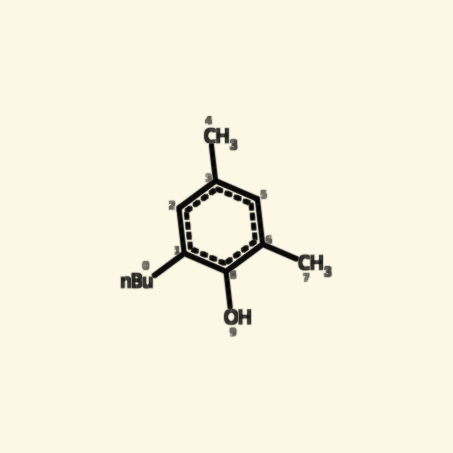 CCCCc1cc(C)cc(C)c1O